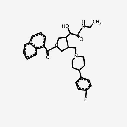 CCNC(=O)C(O)C1CN(C(=O)c2cccc3ccccc23)CC1CN1CCC(c2ccc(F)cc2)CC1